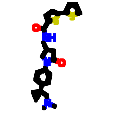 CN(C)CC1(c2ccc(N3CC(CNC(=O)c4ccc(-c5cccs5)s4)CC3=O)cc2)CC1